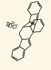 C1=CCC23C(=C1)C(CC1C2=Cc2ccccc21)C1=C3C=C2C=CC=CC21.[Cl-].[Cl-].[Zr+2]